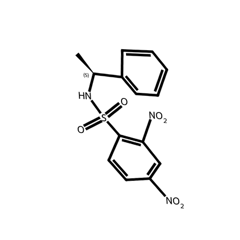 C[C@H](NS(=O)(=O)c1ccc([N+](=O)[O-])cc1[N+](=O)[O-])c1ccccc1